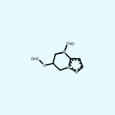 O=COC1CN(C=O)c2ccnn2C1